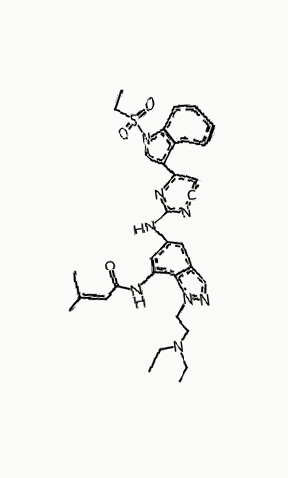 CCN(CC)CCn1ncc2cc(Nc3nccc(-c4cn(S(=O)(=O)CC)c5ccccc45)n3)cc(NC(=O)C=C(C)C)c21